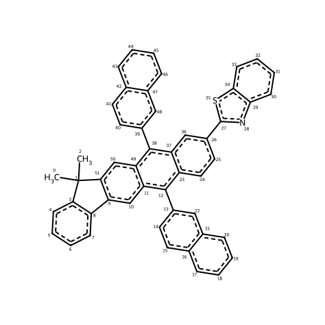 CC1(C)c2ccccc2-c2cc3c(-c4ccc5ccccc5c4)c4ccc(-c5nc6ccccc6s5)cc4c(-c4ccc5ccccc5c4)c3cc21